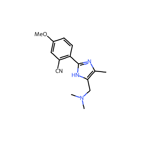 COc1ccc(-c2nc(C)c(CN(C)C)[nH]2)c(C#N)c1